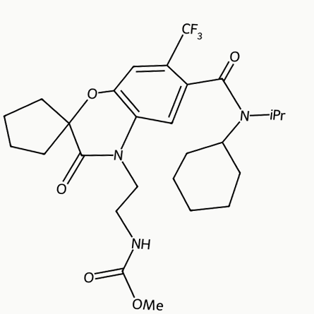 COC(=O)NCCN1C(=O)C2(CCCC2)Oc2cc(C(F)(F)F)c(C(=O)N(C(C)C)C3CCCCC3)cc21